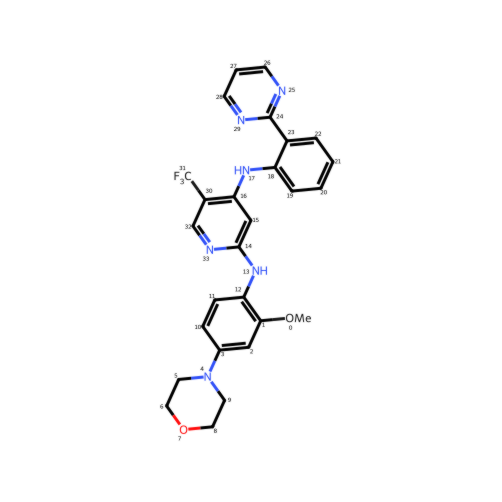 COc1cc(N2CCOCC2)ccc1Nc1cc(Nc2ccccc2-c2ncccn2)c(C(F)(F)F)cn1